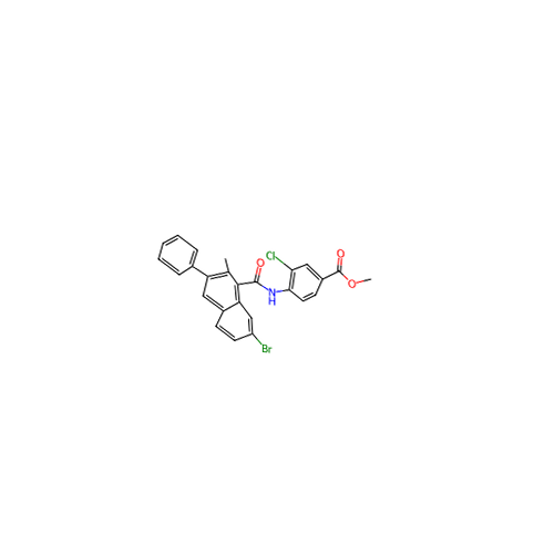 COC(=O)c1ccc(NC(=O)c2c(C)c(-c3ccccc3)cc3ccc(Br)cc23)c(Cl)c1